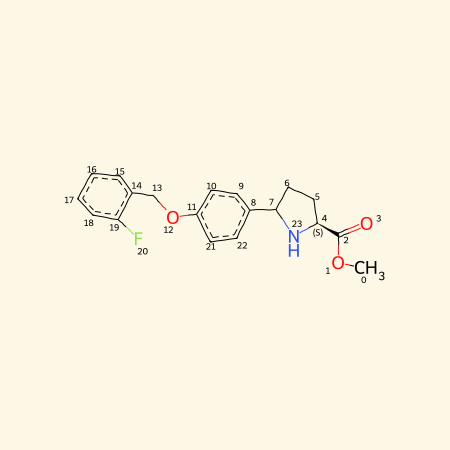 COC(=O)[C@@H]1CCC(c2ccc(OCc3ccccc3F)cc2)N1